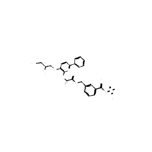 C[C@@H](Oc1nc(-c2ccccc2)ccc1NCC(N)CS)C(=O)NCc1cccc(C(=O)NS(C)(=O)=O)c1